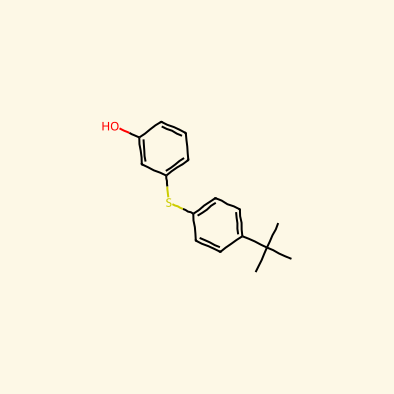 CC(C)(C)c1ccc(Sc2cccc(O)c2)cc1